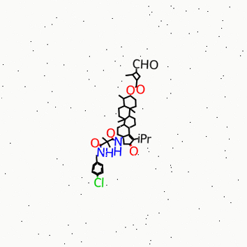 CC(C)C1=C2C3CCC4C(C)(CCC5C(C)C(OC(=O)C6CC(C=O)C6C)CCC54C)C3CCC2(NC(=O)C(C)(C)C(=O)NCc2ccc(Cl)cc2)CC1=O